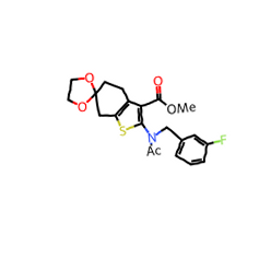 COC(=O)c1c(N(Cc2cccc(F)c2)C(C)=O)sc2c1CCC1(C2)OCCO1